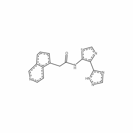 O=C(Cc1cccc2cnccc12)Nc1scnc1-c1ncn[nH]1